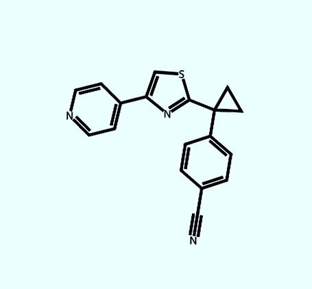 N#Cc1ccc(C2(c3nc(-c4ccncc4)cs3)CC2)cc1